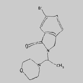 CC(N1CCOCC1)N1Cc2ccc(Br)cc2C1=O